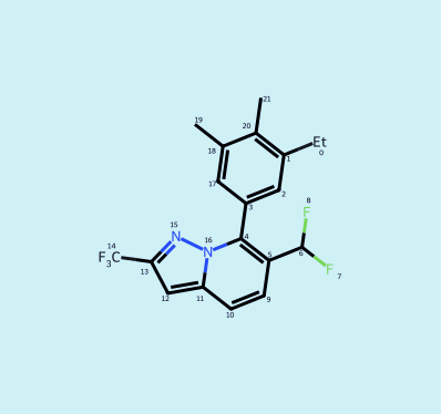 CCc1cc(-c2c(C(F)F)ccc3cc(C(F)(F)F)nn23)cc(C)c1C